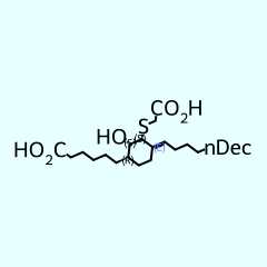 CCCCCCCCCCCCC/C=C1\CC[C@@H](CCCCCC(=O)O)[C@H](O)[C@H]1SCC(=O)O